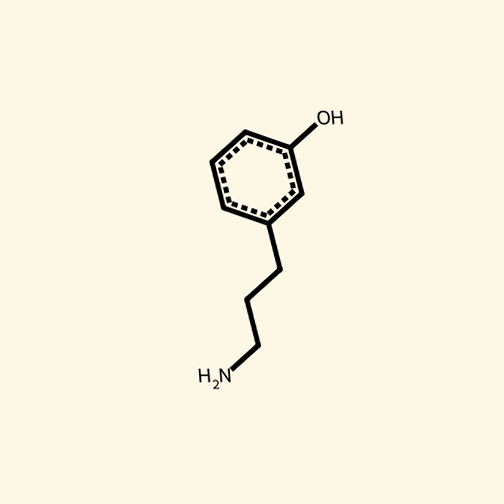 NCCCc1cccc(O)c1